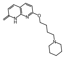 C=C1C=Cc2ccc(OCCCCN3CCCCC3)nc2N1